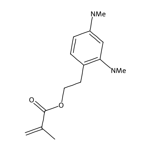 C=C(C)C(=O)OCCc1ccc(NC)cc1NC